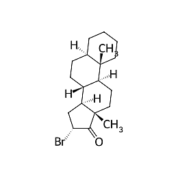 C[C@]12CCCC[C@@H]1CC[C@@H]1[C@@H]2CC[C@]2(C)C(=O)[C@H](Br)C[C@@H]12